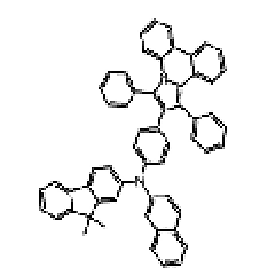 CC1(C)c2ccccc2-c2ccc(N(c3ccc(-c4c(-c5ccccc5)c5c6ccccc6c6ccccc6n5c4-c4ccccc4)cc3)c3ccc4ccccc4c3)cc21